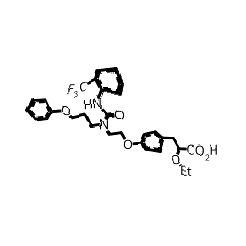 CCOC(Cc1ccc(OCCN(CCCOc2ccccc2)C(=O)Nc2ccccc2C(F)(F)F)cc1)C(=O)O